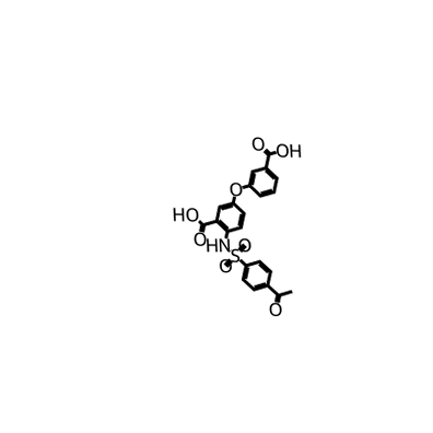 CC(=O)c1ccc(S(=O)(=O)Nc2ccc(Oc3cccc(C(=O)O)c3)cc2C(=O)O)cc1